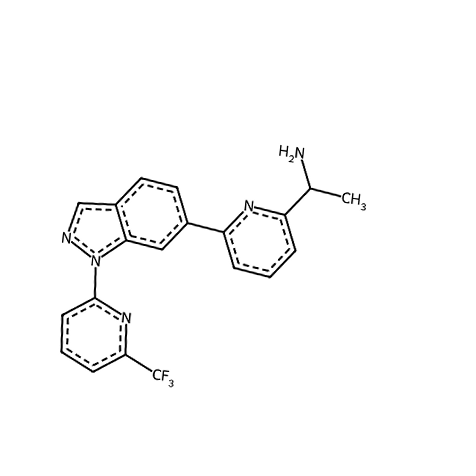 CC(N)c1cccc(-c2ccc3cnn(-c4cccc(C(F)(F)F)n4)c3c2)n1